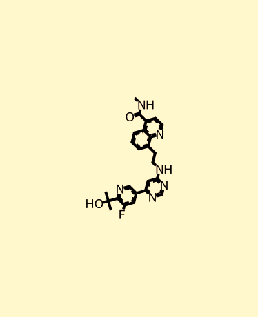 CNC(=O)c1ccnc2c(CCNc3cc(-c4cnc(C(C)(C)O)c(F)c4)ncn3)cccc12